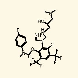 CN(C)CC(O)CNCN(C=N)c1c(Cl)c(C(F)(F)F)cc(C(F)(F)F)c1OC(=O)N(C)c1ccc(F)cc1